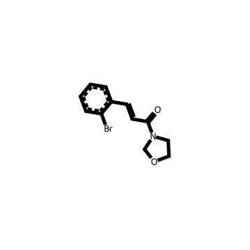 O=C(/C=C/c1ccccc1Br)N1CCOC1